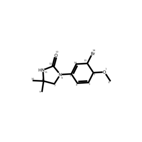 COC1C=CC(N2CC(C)(C)NC2=O)=CC1Br